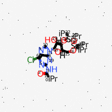 CC(C)C(=O)Nc1nc(Cl)c2ncn([C@@H]3O[C@@H]4CO[Si](C(C)C)(C(C)C)O[Si](C(C)C)(C(C)C)O[C@H]4[C@H]3O)c2n1